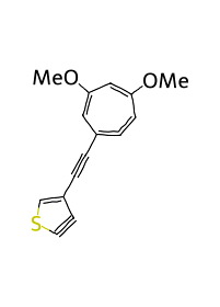 COC1=CC(C#Cc2c#csc2)=C=CC(OC)=C1